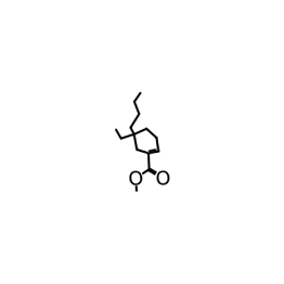 CCCCC1(CC)CCC=C(C(=O)OC)C1